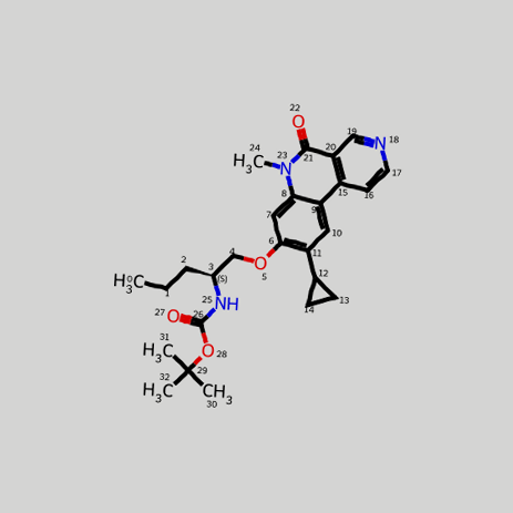 CCC[C@@H](COc1cc2c(cc1C1CC1)c1ccncc1c(=O)n2C)NC(=O)OC(C)(C)C